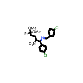 CCC(CCC(C(N=Cc1ccc(Cl)cc1)c1ccc(Cl)cc1)[N+](=O)[O-])(OC)OC